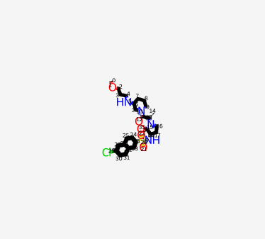 COCCCNC1CCCN(C(=O)[C@H](C)N2CC[C@H](NS(=O)(=O)c3ccc4cc(Cl)ccc4c3)C2=O)C1